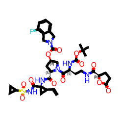 C=CC1C[C@]1(NC(=O)[C@@H]1C[C@@H](OC(=O)N2Cc3cccc(F)c3C2)CN1C(=O)[C@H](CCNC(=O)[C@H]1CCC(=O)O1)NC(=O)OC(C)(C)C)C(=O)NS(=O)(=O)C1CC1